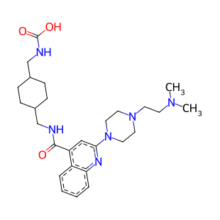 CN(C)CCN1CCN(c2cc(C(=O)NCC3CCC(CNC(=O)O)CC3)c3ccccc3n2)CC1